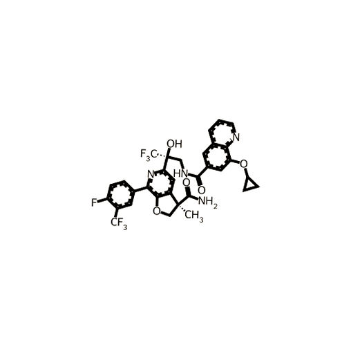 C[C@]1(C(N)=O)COc2c1cc([C@@](O)(CNC(=O)c1cc(OC3CC3)c3ncccc3c1)C(F)(F)F)nc2-c1ccc(F)c(C(F)(F)F)c1